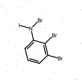 Brc1cccc(N(Br)I)c1Br